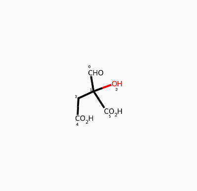 O=CC(O)(CC(=O)O)C(=O)O